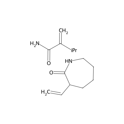 C=C(C(N)=O)C(C)C.C=CC1CCCCNC1=O